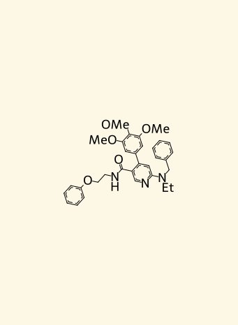 CCN(Cc1ccccc1)c1cc(-c2cc(OC)c(OC)c(OC)c2)c(C(=O)NCCOc2ccccc2)cn1